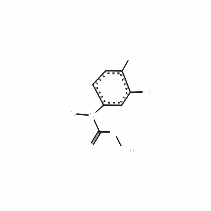 CC(C)(C)OC(=O)N(c1ccc(C(F)(F)F)c(Cl)c1)[N+](=O)[O-]